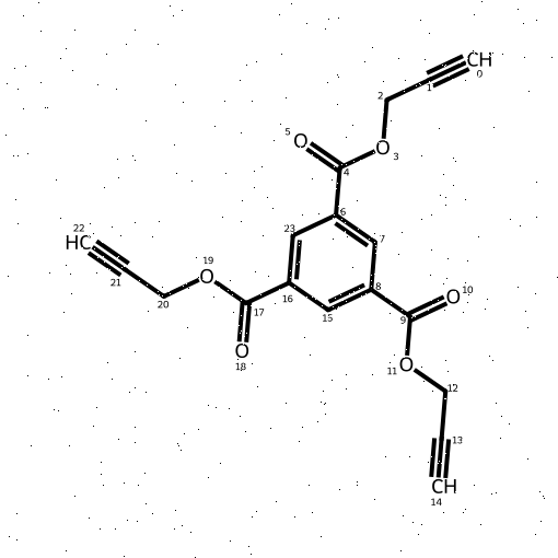 C#CCOC(=O)c1cc(C(=O)OCC#C)cc(C(=O)OCC#C)c1